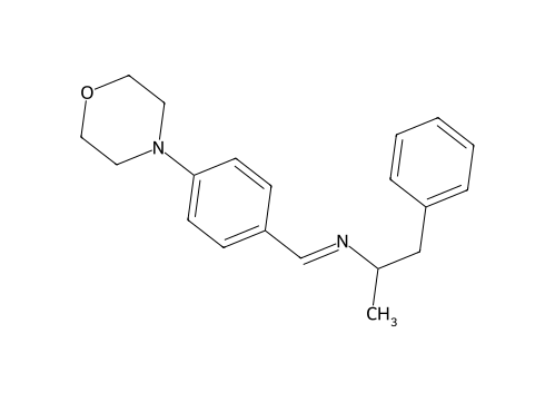 CC(Cc1ccccc1)N=Cc1ccc(N2CCOCC2)cc1